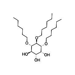 CCCCCCO[C@H]1[C@H](OCCCCCC)[C@H](O)[C@H](O)[C@@H](O)[C@@H]1OCCCCCC